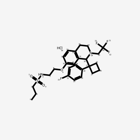 CCCS(=O)(=O)NCCOc1ccc2c(c1)C(C1(c3ccc(F)cc3)CCC1)N(CC(F)(F)F)CC2.Cl